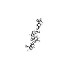 Cc1nc2ccc(OCc3c(Cl)ccc(-n4cccc4CNC(=O)C=Cc4ccc(C(=O)N(C)C)cc4)c3Cl)cn2c1Br